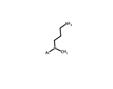 CC(=O)N(C)CCCN